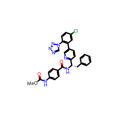 COC(=O)Nc1ccc(C(=O)N[C@@H](Cc2ccccc2)c2ccc(-c3cc(Cl)ccc3-n3cnnn3)cn2)cc1